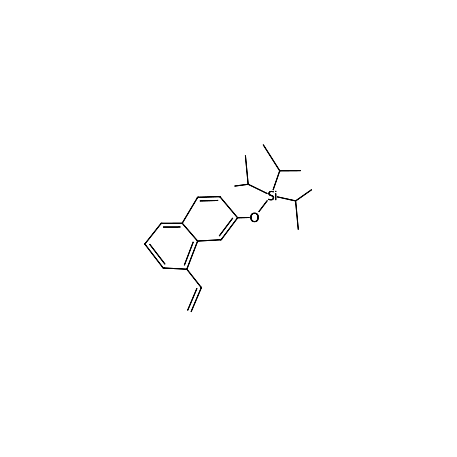 C=Cc1cccc2ccc(O[Si](C(C)C)(C(C)C)C(C)C)cc12